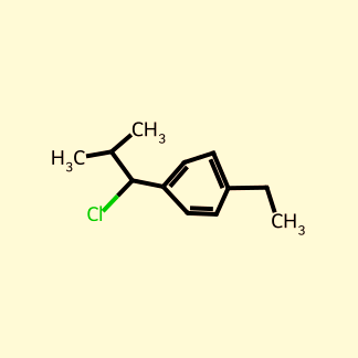 CCc1ccc(C(Cl)C(C)C)cc1